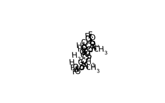 Cc1ccc(S(=O)(=O)N(C)C2=C(/C=C/C3=[N+](C)c4ccc(S(=O)(=O)C(F)F)cc4C3(C)C)CC/C2=C\C=C2\N(C)c3ccc(S(=O)(=O)C(F)F)cc3C2(C)C)cc1